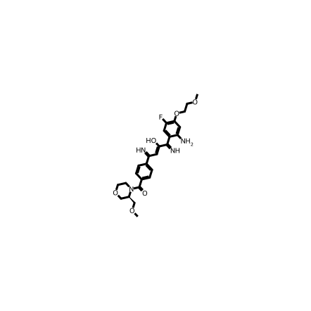 COCCOc1cc(N)c(C(=N)/C(O)=C/C(=N)c2ccc(C(=O)N3CCOC[C@@H]3COC)cc2)cc1F